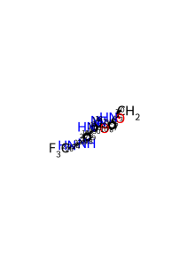 C=CC(=O)Nc1cccc(Oc2ncnc3[nH]c(-c4ccc(NCCNCC(F)(F)F)cc4)cc23)c1